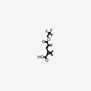 CC1(C)C(/C=C(\F)C(=O)OCC(F)(F)F)C1C(=O)O